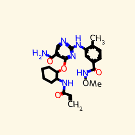 C=CC(=O)NC1CCCCC1Oc1nc(Nc2cc(C(=O)NOC)ccc2C)ncc1C(N)=O